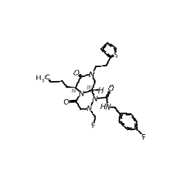 CCCC[C@H]1C(=O)N(CCc2cccs2)C[C@H]2N1C(=O)CN(CF)N2C(=O)NCc1ccc(F)cc1